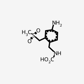 CS(=O)(=O)Cc1cc(N)ccc1CNC(=O)O